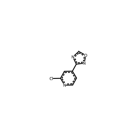 Clc1cc(-c2n[c]on2)ccn1